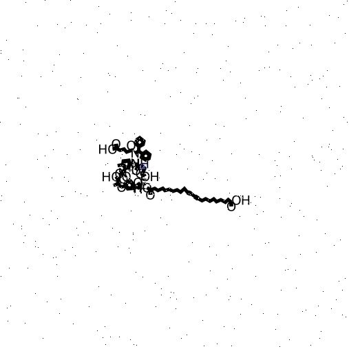 CC(Oc1ccc(OC(F)(F)F)cc1)C(=O)O.Cc1ccc(NC(=O)/C=C\C(=O)O)cc1[N+](=O)[O-].O=C(O)CCCC(=O)NC(c1ccccc1)c1ccccc1.O=C(O)CCCCCCCCC#CC#CCCCCCCCCCC(=O)O